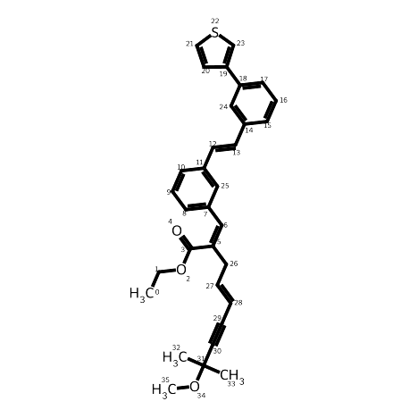 CCOC(=O)C(=Cc1cccc(C=Cc2cccc(-c3ccsc3)c2)c1)CC=CC#CC(C)(C)OC